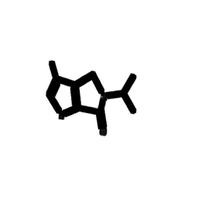 Cc1csc2c1CN(C(C)C)C2=O